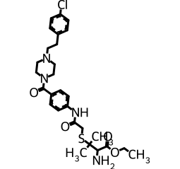 CCOC(=O)C(N)C(C)(C)SCC(=O)Nc1ccc(C(=O)N2CCN(CCc3ccc(Cl)cc3)CC2)cc1